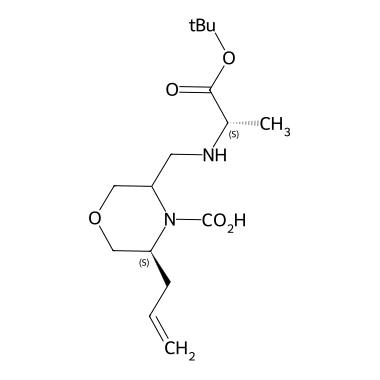 C=CC[C@H]1COCC(CN[C@@H](C)C(=O)OC(C)(C)C)N1C(=O)O